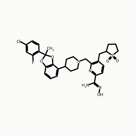 CC1(c2ccc(Cl)cc2F)Oc2cccc(C3CCN(Cc4nc(C(N)=NO)ccc4CC4CCCS4(=O)=O)CC3)c2O1